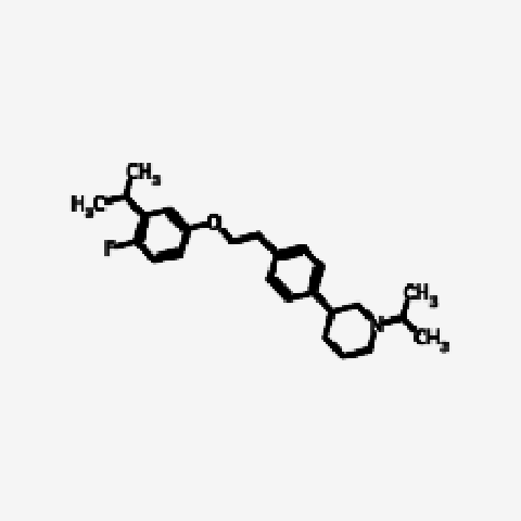 CC(C)c1cc(OCCc2ccc(C3CCCN(C(C)C)C3)cc2)ccc1F